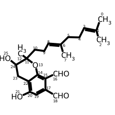 CC(C)=CCC/C(C)=C/CCC1(C)Oc2c(C=O)c(C=O)cc(O)c2CC1O